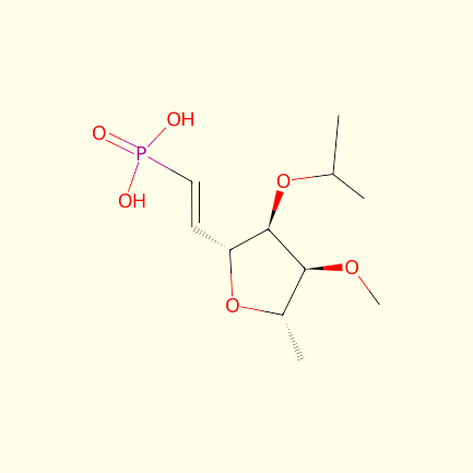 CO[C@@H]1[C@H](OC(C)C)[C@@H](/C=C/P(=O)(O)O)O[C@H]1C